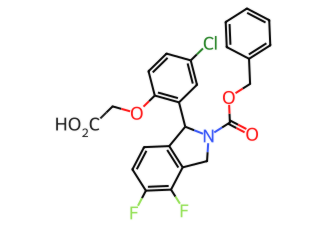 O=C(O)COc1ccc(Cl)cc1C1c2ccc(F)c(F)c2CN1C(=O)OCc1ccccc1